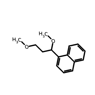 COCCC(OC)c1cccc2ccccc12